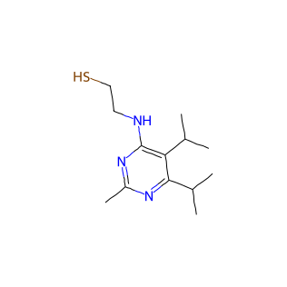 Cc1nc(NCCS)c(C(C)C)c(C(C)C)n1